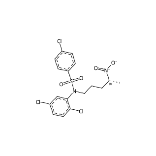 C[C@H](CCCN(c1cc(Cl)ccc1Cl)S(=O)(=O)c1ccc(Cl)cc1)[N+](=O)[O-]